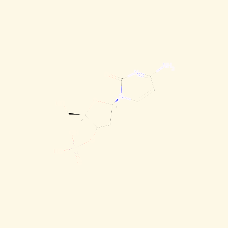 Nc1ccn([C@H]2CC(OP(=O)(O)O)[C@@H](CO)O2)c(=O)n1